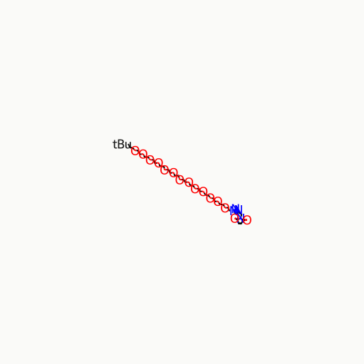 CC(C)(C)CCOCCOCCOCCOCCOCCOCCOCCOCCOCCOCCOCCOCCOCCn1cc(CN2C(=O)C=CC2=O)nn1